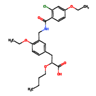 CCCCOC(Cc1ccc(OCC)c(CNC(=O)c2ccc(OCC)cc2Cl)c1)C(=O)O